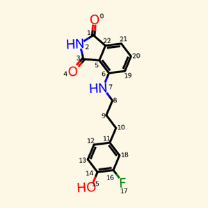 O=C1NC(=O)c2c(NCCCc3ccc(O)c(F)c3)cccc21